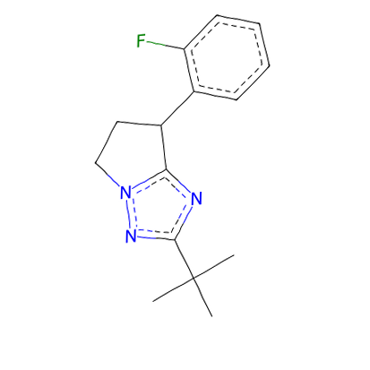 CC(C)(C)c1nc2n(n1)CCC2c1ccccc1F